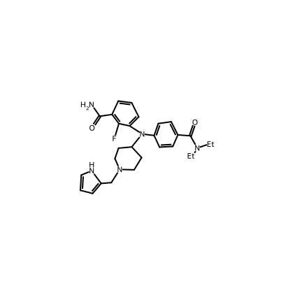 CCN(CC)C(=O)c1ccc(N(c2cccc(C(N)=O)c2F)C2CCN(Cc3ccc[nH]3)CC2)cc1